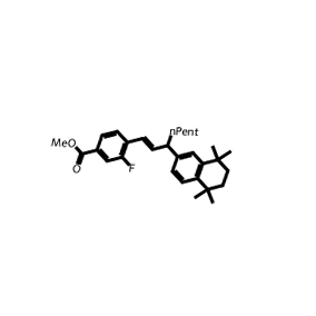 CCCCCC(/C=C/c1ccc(C(=O)OC)cc1F)c1ccc2c(c1)C(C)(C)CCC2(C)C